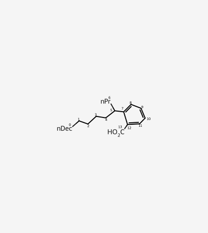 CCCCCCCCCCCCCCC(CCC)c1ccccc1C(=O)O